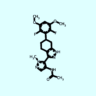 COc1cc(OC)c(F)c(C2CCc3c(-c4c(NC(C)=O)cnn4C)n[nH]c3C2)c1F